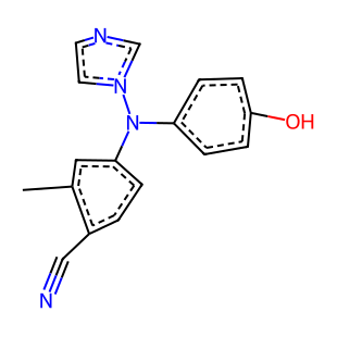 Cc1cc(N(c2ccc(O)cc2)n2ccnc2)ccc1C#N